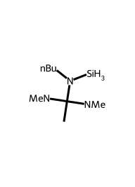 CCCCN([SiH3])C(C)(NC)NC